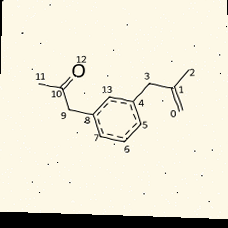 C=C(C)Cc1cccc(CC(C)=O)c1